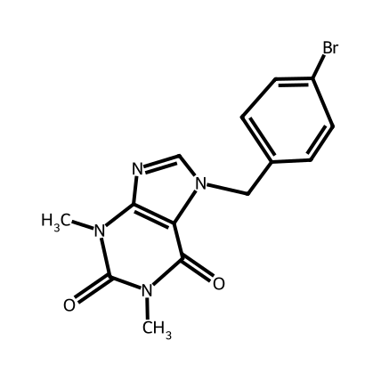 Cn1c(=O)c2c(ncn2Cc2ccc(Br)cc2)n(C)c1=O